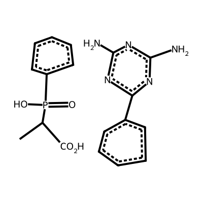 CC(C(=O)O)P(=O)(O)c1ccccc1.Nc1nc(N)nc(-c2ccccc2)n1